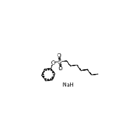 CCCCCCCS(=O)(=O)Oc1ccccc1.[NaH]